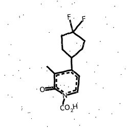 Cc1c(C2CCC(F)(F)CC2)ccn(C(=O)O)c1=O